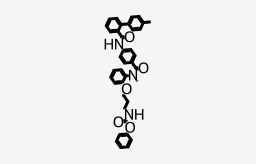 Cc1ccc(-c2ccccc2C(=O)Nc2ccc(C(=O)N(C)c3ccccc3OCCCNC(=O)Oc3ccccc3)cc2)cc1